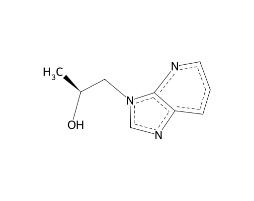 C[C@H](O)Cn1cnc2cccnc21